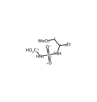 CCC(COC)NS(=O)(=O)NC(=O)O